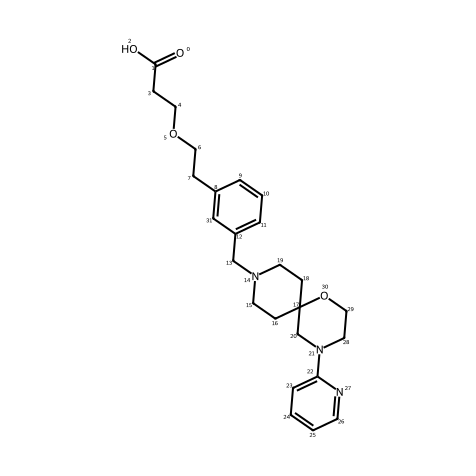 O=C(O)CCOCCc1cccc(CN2CCC3(CC2)CN(c2ccccn2)CCO3)c1